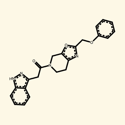 O=C(Cc1n[nH]c2ccccc12)N1CCc2nc(COc3ccccc3)oc2C1